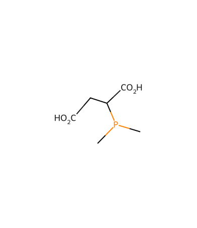 CP(C)C(CC(=O)O)C(=O)O